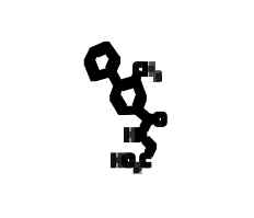 Cc1cc(C(=O)NCC(=O)O)ccc1-c1ccccc1